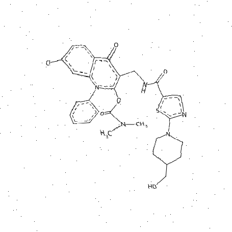 CN(C)C(=O)Oc1c(CNC(=O)c2cnc(N3CCC(CO)CC3)s2)c(=O)c2ccc(Cl)cc2n1-c1ccccc1